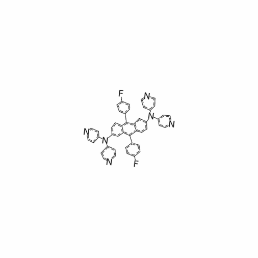 Fc1ccc(-c2c3ccc(N(c4ccncc4)c4ccncc4)cc3c(-c3ccc(F)cc3)c3ccc(N(c4ccncc4)c4ccncc4)cc23)cc1